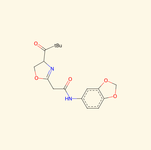 CC(C)(C)C(=O)C1COC(CC(=O)Nc2ccc3c(c2)OCO3)=N1